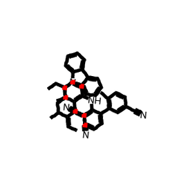 C/C=C(\C(=C/C#N)C1=C(Nc2c(C#N)cccc2-c2cc(C#N)ccc2C)C=CCC1C)C(C)CCC(CC)n1c2ccccc2c2ccccc21